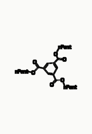 CCCCCOC(=O)c1cc(C(=O)OCCCCC)cc(C(=O)OCCCCC)c1